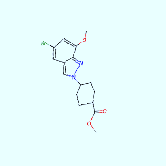 COC(=O)C1CCC(n2cc3cc(Br)cc(OC)c3n2)CC1